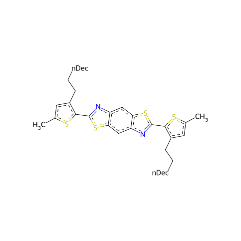 CCCCCCCCCCCCc1cc(C)sc1-c1nc2cc3sc(-c4sc(C)cc4CCCCCCCCCCCC)nc3cc2s1